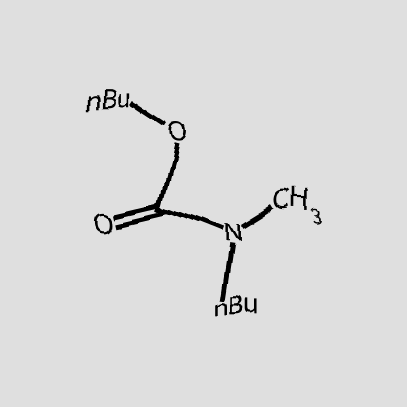 CCCCOC(=O)N(C)CCCC